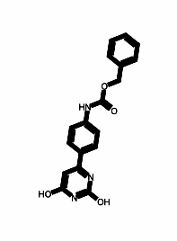 O=C(Nc1ccc(-c2cc(O)nc(O)n2)cc1)OCc1ccccc1